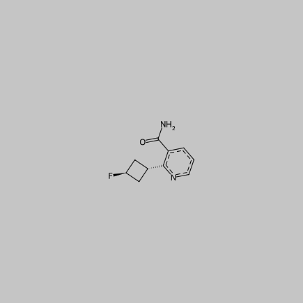 NC(=O)c1cccnc1[C@H]1C[C@H](F)C1